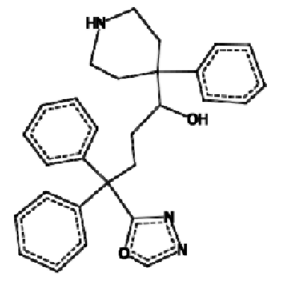 OC(CCC(c1ccccc1)(c1ccccc1)c1nnco1)C1(c2ccccc2)CCNCC1